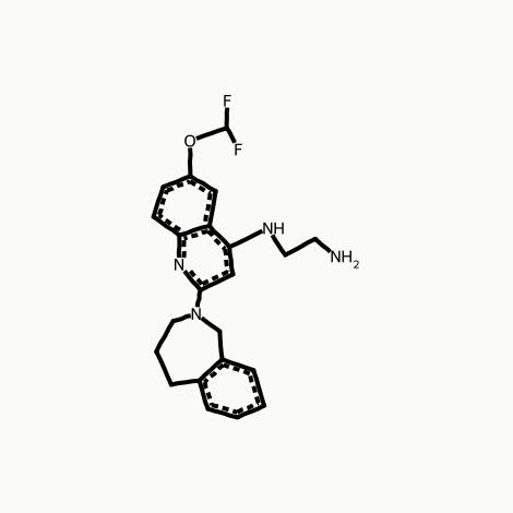 NCCNc1cc(N2CCCc3ccccc3C2)nc2ccc(OC(F)F)cc12